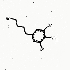 Nc1c(Br)cc(CCCCBr)cc1Br